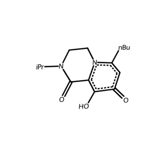 CCCCc1cc(=O)c(O)c2n1CCN(C(C)C)C2=O